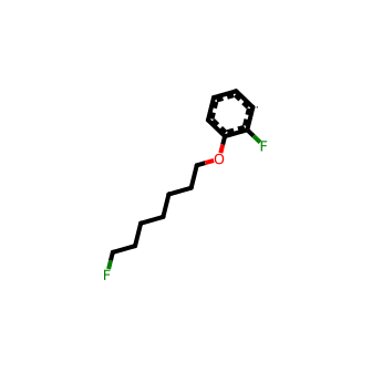 FCCCCCCCOc1ccc[c]c1F